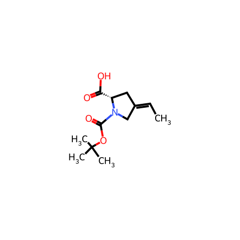 CC=C1C[C@@H](C(=O)O)N(C(=O)OC(C)(C)C)C1